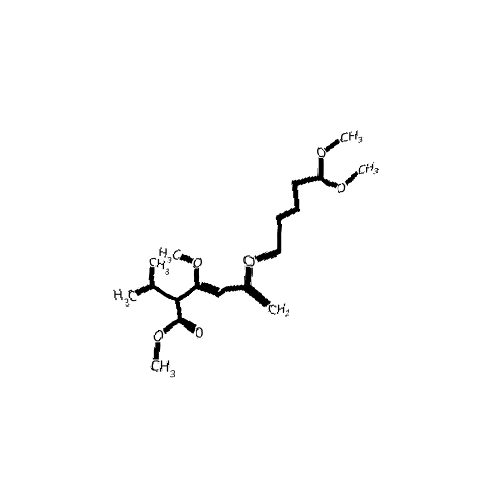 C=C(/C=C(\OC)C(C(=O)OC)C(C)C)OCCCCC(OC)OC